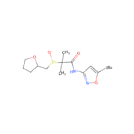 CC(C)(C)c1cc(NC(=O)C(C)(C)[S+]([O-])CC2CCCO2)no1